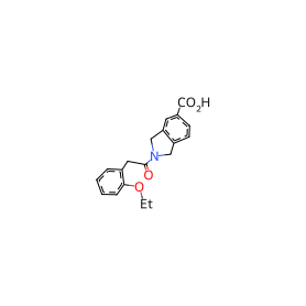 CCOc1ccccc1CC(=O)N1Cc2ccc(C(=O)O)cc2C1